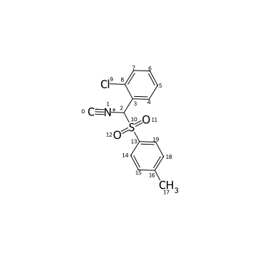 [C-]#[N+]C(c1ccccc1Cl)S(=O)(=O)c1ccc(C)cc1